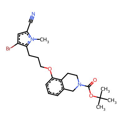 Cn1c(C#N)cc(Br)c1CCCOc1cccc2c1CCN(C(=O)OC(C)(C)C)C2